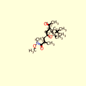 CON(C)C(=O)C(C)C[C@@H](CCC(C)=O)O[Si](C)(C)C(C)(C)C